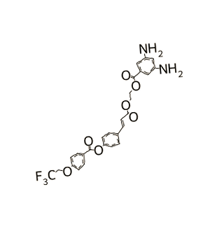 Nc1cc(N)cc(C(=O)OCCOC(=O)C=Cc2ccc(OC(=O)c3ccc(OCC(F)(F)F)cc3)cc2)c1